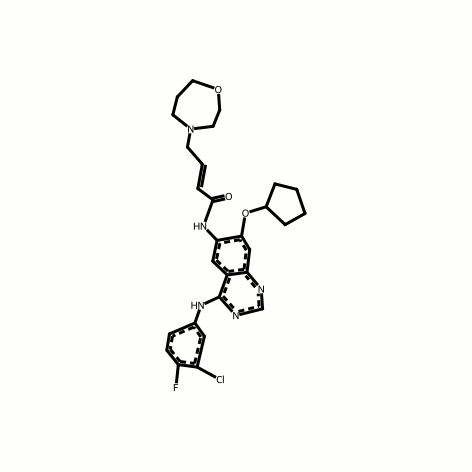 O=C(/C=C/CN1CCCOCC1)Nc1cc2c(Nc3ccc(F)c(Cl)c3)ncnc2cc1OC1CCCC1